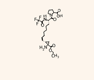 CCOC(=O)[C@@]1(N)C[C@H]1/C=C\CCCCC[C@H](NC(=O)C(F)(F)F)C(=O)N1CCCC1C(=O)O